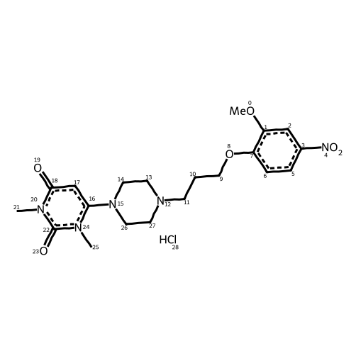 COc1cc([N+](=O)[O-])ccc1OCCCN1CCN(c2cc(=O)n(C)c(=O)n2C)CC1.Cl